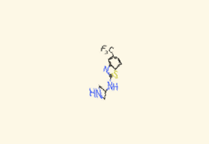 FC(F)(F)c1ccc2sc(NC3CNC3)nc2c1